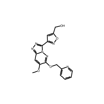 COc1cc2nnc(-c3cc(CO)on3)n2nc1OCc1ccccn1